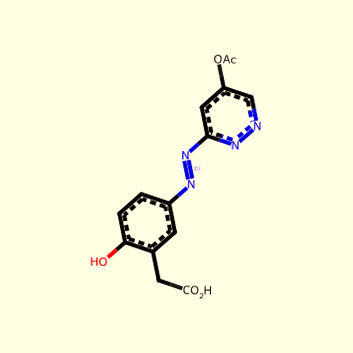 CC(=O)Oc1cnnc(/N=N/c2ccc(O)c(CC(=O)O)c2)c1